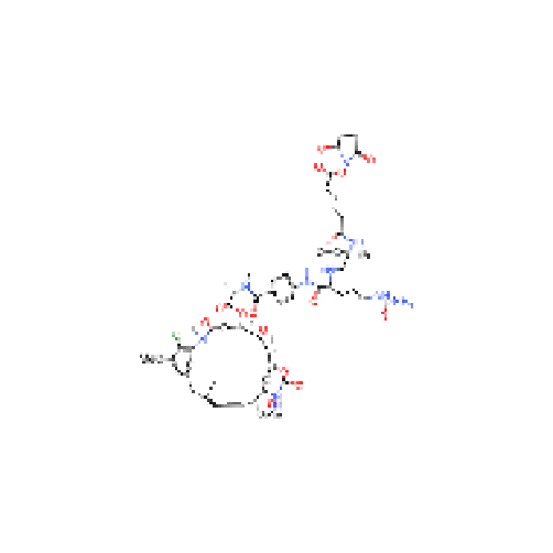 COc1cc2cc(c1Cl)N(C)C(=O)C[C@H](OC(=O)[C@H](C)N(C)C(=O)c1ccc(NC(=O)[C@H](CCCNC(N)=O)NC[C@](C=O)(NC(=O)CCCCC(=O)ON3C(=O)CCC3=O)C(C)C)cc1)[C@]1(C)O[C@H]1[C@H](C)[C@@H]1C[C@@](O)(NC(=O)O1)[C@H](OC)/C=C/C=C(\C)C2